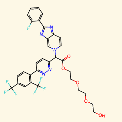 O=C(OCCOCCOCCO)C(c1ccc(-c2ccc(C(F)(F)F)cc2C(F)(F)F)nn1)n1ccc2nc(-c3ccccc3F)nc-2c1